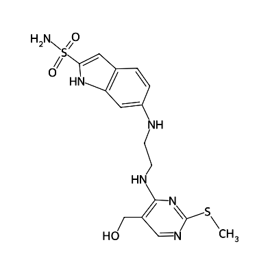 CSc1ncc(CO)c(NCCNc2ccc3cc(S(N)(=O)=O)[nH]c3c2)n1